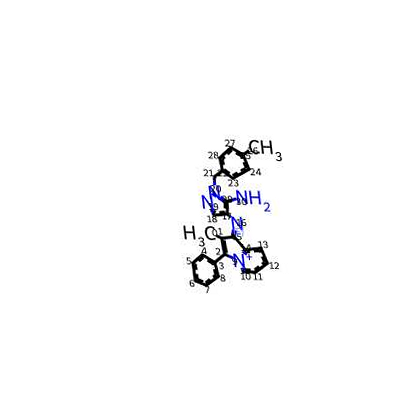 CC1=C(c2ccccc2)[n+]2ccccc2/C1=N/c1cnn(Cc2ccc(C)cc2)c1N